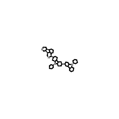 c1ccc(-n2c3ccccc3c3cc(-c4ccc5c(c4)c4ccc(-c6ncc7c8c(cccc68)-c6ccncc6-7)cc4n5-c4ccccc4)ccc32)cc1